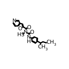 CCCC(C)c1ccc(NC(=O)N(S)C(=O)c2cc3cnccc3o2)cc1